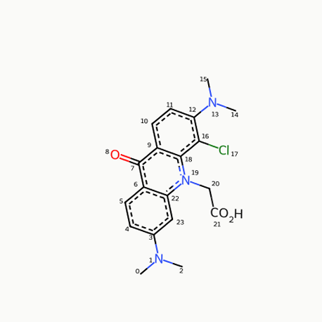 CN(C)c1ccc2c(=O)c3ccc(N(C)C)c(Cl)c3n(CC(=O)O)c2c1